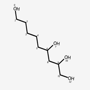 OCCCCCC(O)CC(O)CO